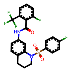 O=C(Nc1ccc2c(c1)N(S(=O)(=O)c1ccc(F)cc1)CCC2)c1c(F)cccc1C(F)(F)F